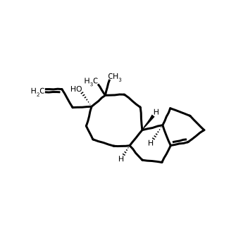 C=CC[C@]1(O)CCC[C@@H]2CCC3=CCCC[C@@H]3[C@H]2CCC1(C)C